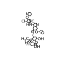 CN1CC[C@]23c4c5c(CCOc6cc7c(Nc8ccc(Oc9ccccn9)c(Cl)c8)c(C#N)cnc7cc6OC6CCOC6)cc(O)c4O[C@H]2[C@@H](O)C=C[C@H]3[C@H]1C5